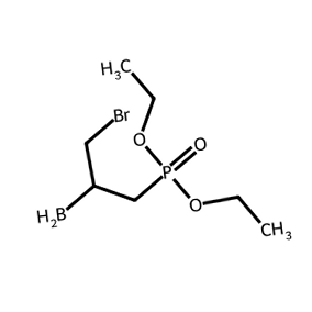 BC(CBr)CP(=O)(OCC)OCC